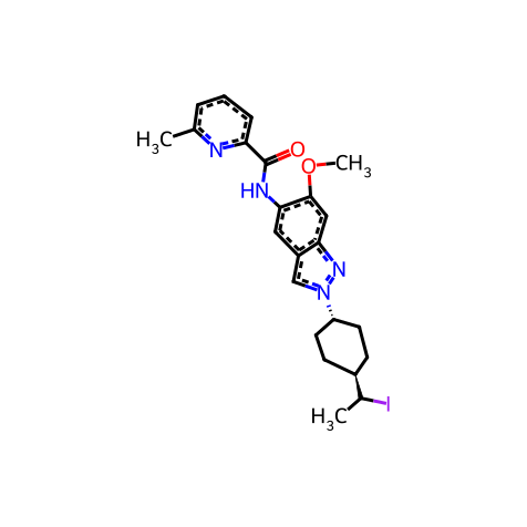 COc1cc2nn([C@H]3CC[C@H](C(C)I)CC3)cc2cc1NC(=O)c1cccc(C)n1